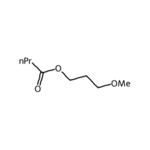 CCCC(=O)OCCCOC